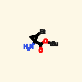 CCC1CC1(N)C(=O)OC(C)(C)C